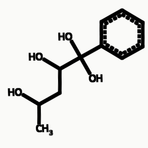 CC(O)CC(O)C(O)(O)c1ccccc1